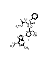 CNc1nc(C)nc2c1ncn2[C@@H]1O[C@](CCl)(CO[P@@](=O)(N[C@@H](C)C(=O)OC)Oc2ccccc2)[C@@H](O)[C@@H]1F